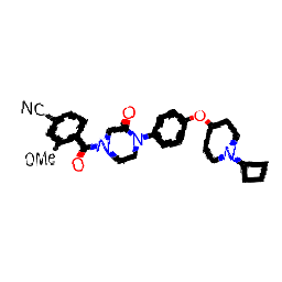 COc1cc(C#N)ccc1C(=O)N1CCN(c2ccc(OC3CCN(C4CCC4)CC3)cc2)C(=O)C1